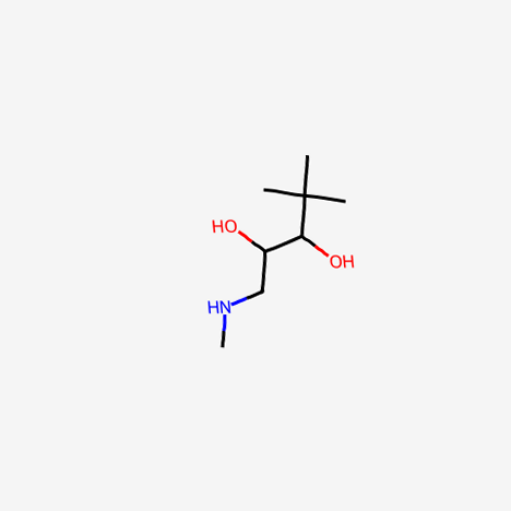 CNCC(O)C(O)C(C)(C)C